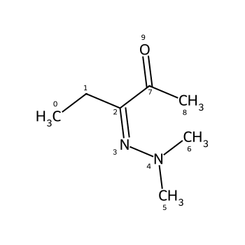 CCC(=NN(C)C)C(C)=O